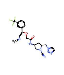 C=N/C=C(\OCC(=O)NC1C[C@@H](Cn2ccnn2)N(C#N)C1)c1cccc(C(F)(F)F)c1